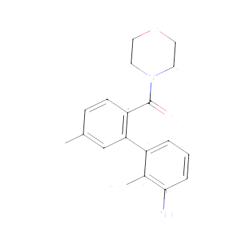 Cc1c[c]c(C(=O)N2CCOCC2)c(-c2cccc(N)c2C)c1